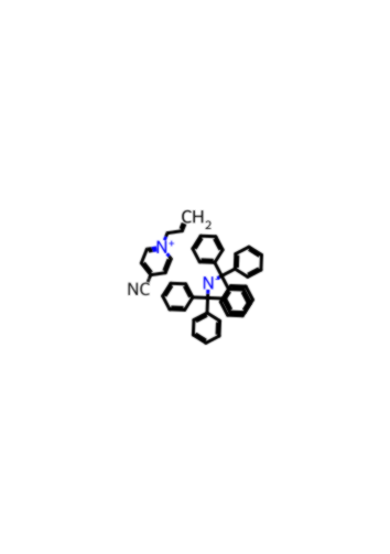 C=CC[n+]1ccc(C#N)cc1.c1ccc(C([N-]C(c2ccccc2)(c2ccccc2)c2ccccc2)(c2ccccc2)c2ccccc2)cc1